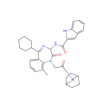 Cc1cccc2c1N(CC(=O)N1CC3CCC(CC3)C1)C(=O)C(NC(=O)c1cc3ccccc3[nH]1)N=C2C1CCCCC1